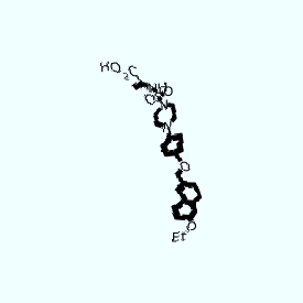 CCOc1ccc2cc(COc3ccc(N4CCN(S(=O)(=O)N[C@H](C)C(=O)O)CC4)cc3)ccc2c1